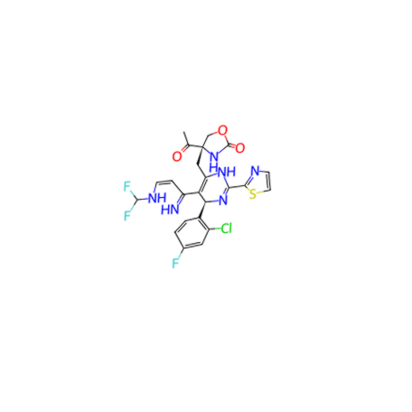 CC(=O)[C@]1(CC2=C(C(=N)/C=C\NC(F)F)[C@H](c3ccc(F)cc3Cl)N=C(c3nccs3)N2)COC(=O)N1